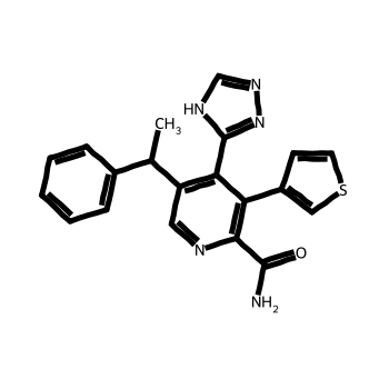 CC(c1ccccc1)c1cnc(C(N)=O)c(-c2ccsc2)c1-c1nnc[nH]1